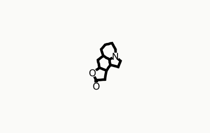 O=C1CC2C(CC3CCCCN4CCC2C34)O1